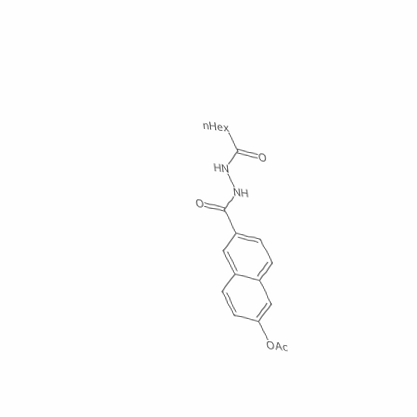 CCCCCCC(=O)NNC(=O)c1ccc2cc(OC(C)=O)ccc2c1